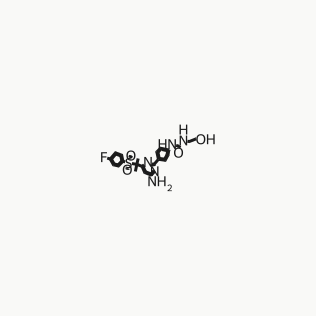 CC(C)(c1cc(N)nc(-c2ccc(NC(=O)NCCO)cc2)n1)S(=O)(=O)c1ccc(F)cc1